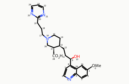 COc1ccc2nccc([C@H](O)CC[C@@H]3CCN(CCCc4ncccn4)C[C@@H]3C(=O)O)c2c1